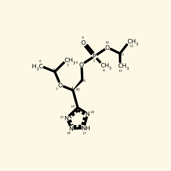 CC(C)O[C@@H](COP(C)(=O)OC(C)C)c1nn[nH]n1